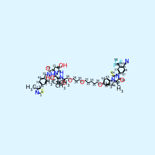 Cc1ncsc1-c1ccc(CNC(=O)[C@@H]2C[C@@H](O)CN2C(O)[C@@H](NC(=O)COCCCOCCCCCOc2ccc(N3C(=S)N(c4ccc(C#N)c(C(F)(F)F)c4)C(=O)C3(C)C)cc2)C(C)(C)C)cc1